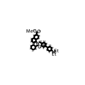 CCN(CC)c1ccc(C23CCC(CN(C(=O)C4CCCCC4)c4cccc5c4CCC(C(=O)OC)=C5)(CC2)CC3)cc1